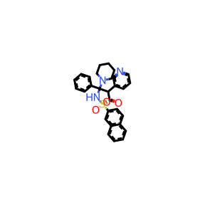 O=CC(c1cccnc1)C(NS(=O)(=O)c1ccc2ccccc2c1)(c1ccccc1)N1CCCCC1